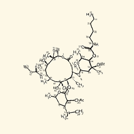 CC[C@H]1OC(=O)[C@H](C)[C@@H](OC2CC(C)(OC)C(OC(=O)NCCCCN)C(C)O2)[C@H](C)[C@@H](OC2OC(C)CC(N(C)C)C2OC(C)=O)[C@](C)(O)C[C@@H](C)[C@H](NC(=O)OC(C)(C)C)[C@H](C)[C@@H](O)[C@]1(C)O